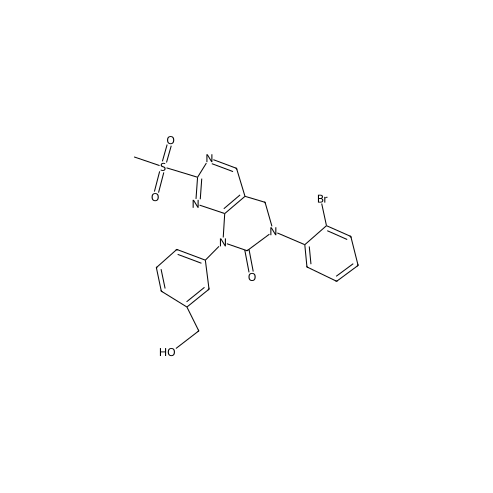 CS(=O)(=O)c1ncc2c(n1)N(c1cccc(CO)c1)C(=O)N(c1ccccc1Br)C2